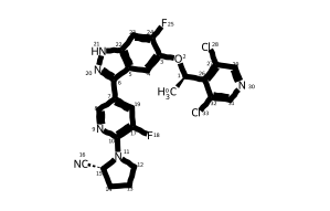 C[C@@H](Oc1cc2c(-c3cnc(N4CCC[C@@H]4C#N)c(F)c3)n[nH]c2cc1F)c1c(Cl)cncc1Cl